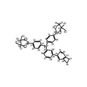 CC1(C)OB(c2ccc(N(c3ccc(B4OC(C)(C)C(C)(C)O4)cc3)c3cccc(-c4ccc5c(c4)CC5)c3)cc2)OC1(C)C